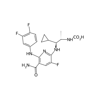 C[C@H](NC(=O)O)[C@@H](Nc1nc(Nc2ccc(F)c(F)c2)c(C(N)=O)cc1F)C1CC1